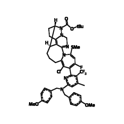 COc1ccc(CN(Cc2ccc(OC)cc2)c2cc(C)c(C(F)(F)F)c(C3=C(F)C=C(SC)N4C5=NCN6C7=C5[C@@H](CCCC4=C3Cl)[C@H](CC7)N6C(=O)OC(C)(C)C)n2)cc1